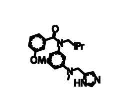 COc1cccc(C(=O)N(CC(C)C)c2cccc(N(C)Cc3cnc[nH]3)c2)c1